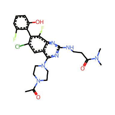 CC(=O)N1CCN(c2nc(NCCC(=O)N(C)C)nc3c(F)c(-c4c(O)cccc4F)c(Cl)cc23)CC1